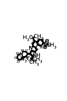 CC(C)C(=Cc1ccc2[nH]c(C(C)(C)C)c(C3CCN4CCCCC4C3)c2n1)c1ccc(S(C)(=O)=O)cc1